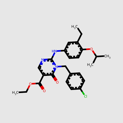 CCOC(=O)c1cnc(Nc2ccc(OC(C)C)c(CC)c2)n(Cc2ccc(Cl)cc2)c1=O